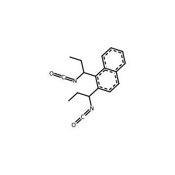 CCC(N=C=O)c1ccc2ccccc2c1C(CC)N=C=O